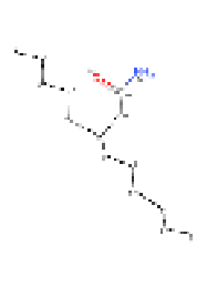 CCCCCCC(CCCCC)CC(N)=O